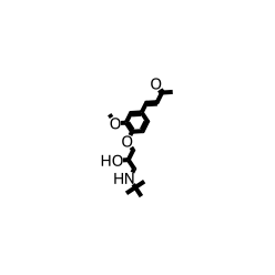 COc1cc(/C=C/C(C)=O)ccc1OCC(O)CNC(C)(C)C